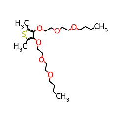 CCCCOCCOCCOc1c(C)sc(C)c1OCCOCCOCCCC